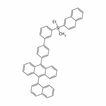 CC[Si](C)(c1cccc(-c2ccc(-c3c4ccccc4c(-c4cccc5ccccc45)c4ccccc34)cc2)c1)c1ccc2ccccc2c1